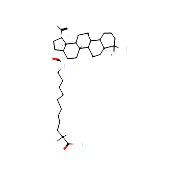 C=C(C)[C@@H]1CC[C@]2(C(=O)NCCCCCCCCCC(C)(C)C(=O)O)CC[C@]3(C)[C@H](CCC4[C@@]5(C)CC[C@H](O)C(C)(C)[C@@H]5CC[C@]43C)[C@@H]12